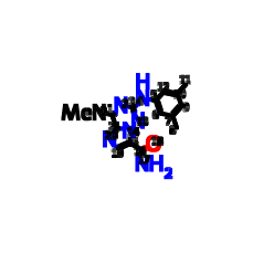 CNc1nc(Nc2cc(C)cc(C)c2)nn2c(C(N)=O)cnc12